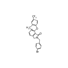 Cc1cc(C(F)(F)F)ccc1Oc1nccc2c1C(=O)N(Cc1ccc(Br)cc1)C2